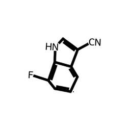 N#Cc1c[nH]c2c(F)c[c]cc12